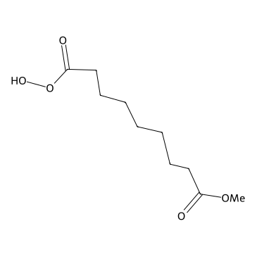 COC(=O)CCCCCCCC(=O)OO